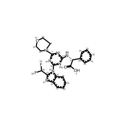 O=C(O)[C@H](Nc1nc(N2CCOCC2)nc(-n2c(C(F)F)nc3ccccc32)n1)c1ccccc1